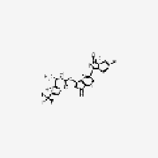 C[C@H](NC(=O)Oc1c[nH]c2ncc(-c3nn(C)c4cc(F)ccc34)nc12)c1ncc(C(F)(F)F)[nH]1